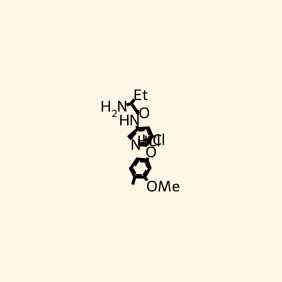 CCC(N)C(=O)Nc1ccc(Oc2ccc(C)c(OC)c2)nc1.Cl.Cl